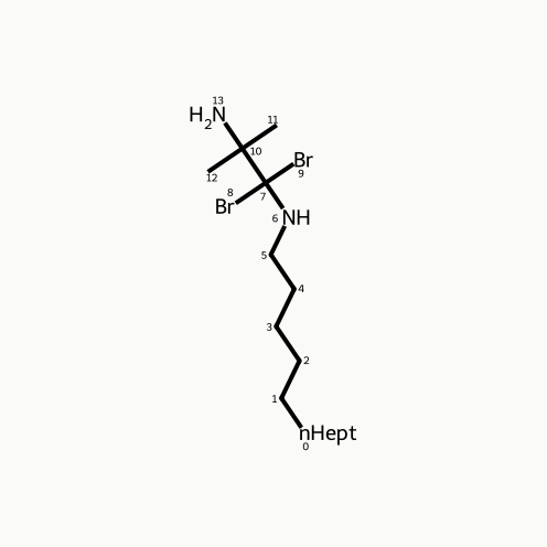 CCCCCCCCCCCCNC(Br)(Br)C(C)(C)N